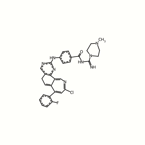 CN1CCN(C(=N)NC(=O)c2ccc(Nc3ncc4c(n3)C3=CN=C(Cl)C=C(c5ccccc5F)C3=CC4)cc2)CC1